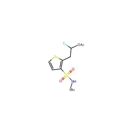 CC(=O)OC(F)Cc1sccc1S(=O)(=O)NC(C)(C)C